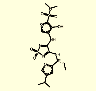 CC[C@@H](NC1=NS(=O)(=O)N=C1Nc1csc(S(=O)(=O)N(C)C)c1O)c1cc(C(C)C)co1